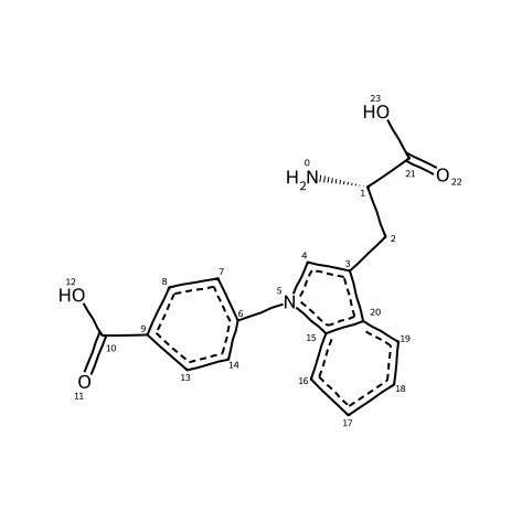 N[C@@H](Cc1cn(-c2ccc(C(=O)O)cc2)c2ccccc12)C(=O)O